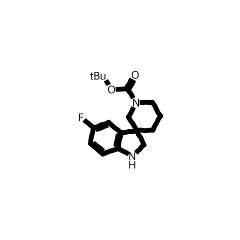 CC(C)(C)OC(=O)N1CCCC2(CNc3ccc(F)cc32)C1